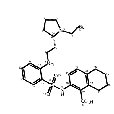 CCC(C)CN1CCC[C@H]1CCNc1ccccc1S(=O)(=O)Nc1ccc2c(c1C(=O)O)CCCC2